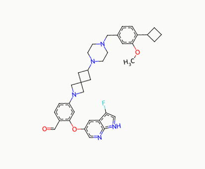 COc1cc(CN2CCN(C3CC4(C3)CN(c3ccc(C=O)c(Oc5cnc6[nH]cc(F)c6c5)c3)C4)CC2)ccc1C1CCC1